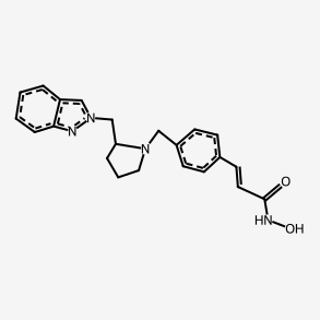 O=C(C=Cc1ccc(CN2CCCC2Cn2cc3ccccc3n2)cc1)NO